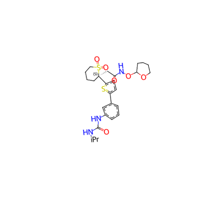 CC(C)NC(=O)Nc1cccc(-c2ccc([C@@]3(CC(=O)NOC4CCCCO4)CCCCS3(=O)=O)s2)c1